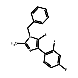 Cc1nc(-c2ccc(F)cc2F)c(Br)n1Cc1ccccc1